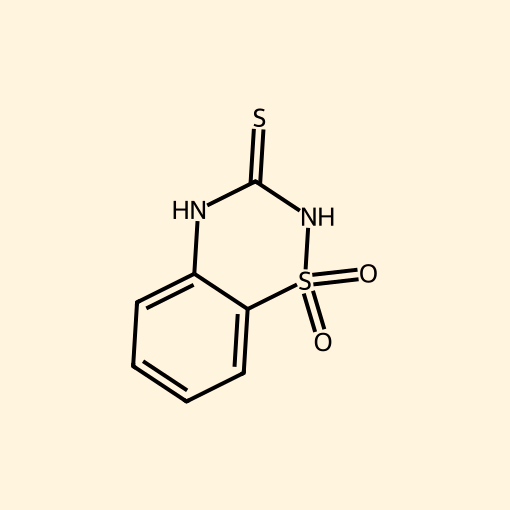 O=S1(=O)NC(=S)Nc2ccccc21